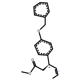 C/C=C\[C@@H](CC(=O)OC)c1ccc(OCc2ccccc2)cc1